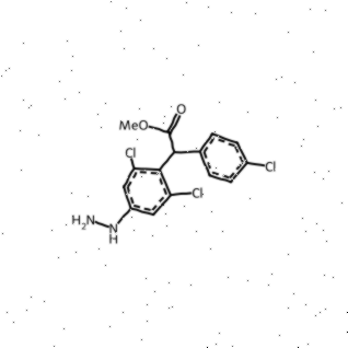 COC(=O)C(c1ccc(Cl)cc1)c1c(Cl)cc(NN)cc1Cl